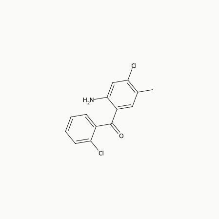 Cc1cc(C(=O)c2ccccc2Cl)c(N)cc1Cl